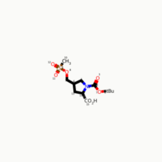 CC(C)(C)OC(=O)N1CC(COS(C)(=O)=O)CC1C(=O)O